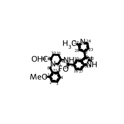 COc1cccc(F)c1CN1C[C@H](NC(=O)c2ccc3[nH]nc(-c4ccnc(C)c4)c3c2)CC[C@H]1C=O